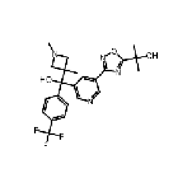 CN1CC(C)(C(O)(c2ccc(C(F)(F)F)cc2)c2cncc(-c3noc(C(C)(C)O)n3)c2)C1